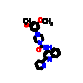 COc1cc(OC)cc(N2CCN(C(=O)Nc3cc(-c4ccccn4)nc4ccccc34)CC2)c1